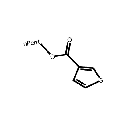 CCCCCOC(=O)c1ccsc1